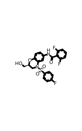 O=C(Nc1ccc2c(c1)N(S(=O)(=O)c1ccc(F)cc1)C[C@@H](CO)O2)c1c(F)cccc1F